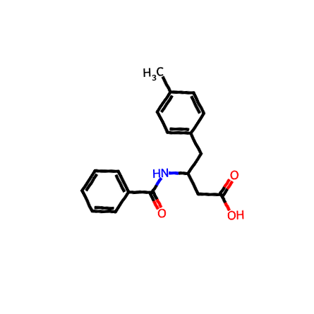 Cc1ccc(CC(CC(=O)O)NC(=O)c2ccccc2)cc1